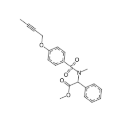 CC#CCOc1ccc(S(=O)(=O)N(C)C(C(=O)OC)c2ccccc2)cc1